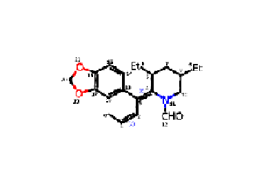 C/C=C\C(=C1\C(CC)CC(CC)CN1C=O)c1ccc2c(c1)OCO2